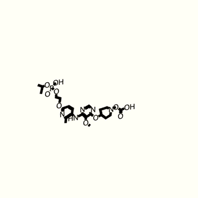 COc1c(Nc2ccc(OCCOP(=O)(O)OC(C)C)nc2C)ncnc1OC1CCN(OC(=O)O)CC1